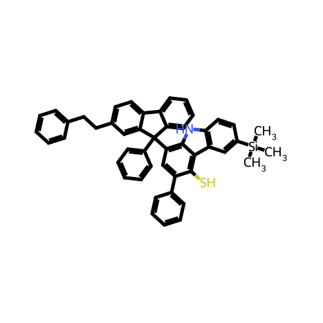 C[Si](C)(C)c1ccc2[nH]c3c(C4(c5ccccc5)c5ccccc5-c5ccc(CCc6ccccc6)cc54)cc(-c4ccccc4)c(S)c3c2c1